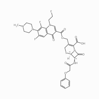 CN1CCN(c2c(F)cc3c(=O)c(C(=O)OCC4=C(C(=O)O)N5C(=O)[C@@H](NC(=O)COc6ccccc6)[C@H]5SC4)cn(CCF)c3c2F)CC1